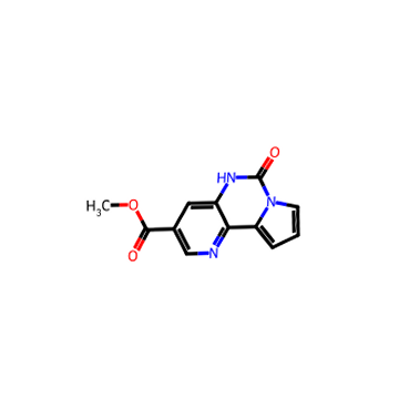 COC(=O)c1cnc2c(c1)[nH]c(=O)n1cccc21